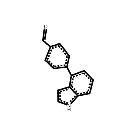 O=Cc1ccc(-c2cccc3[nH]ccc23)cc1